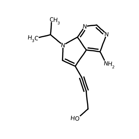 CC(C)n1cc(C#CCO)c2c(N)ncnc21